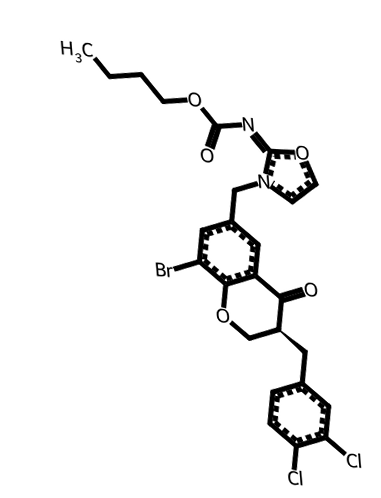 CCCCOC(=O)/N=c1/occn1Cc1cc(Br)c2c(c1)C(=O)[C@@H](Cc1ccc(Cl)c(Cl)c1)CO2